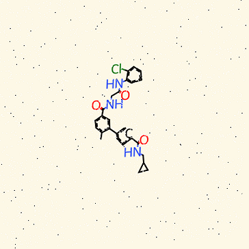 Cc1ccc(C(=O)NCC(=O)Nc2ccccc2Cl)cc1-c1ccc(C(=O)NCC2CC2)cc1